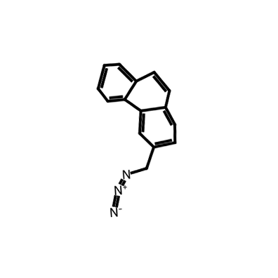 [N-]=[N+]=NCc1ccc2ccc3ccccc3c2c1